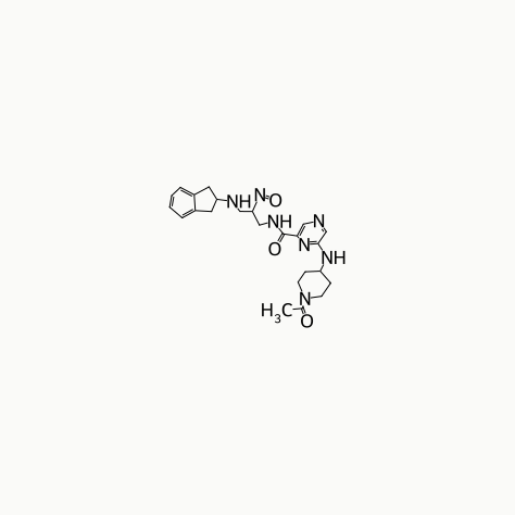 CC(=O)N1CCC(Nc2cncc(C(=O)NCC(CNC3Cc4ccccc4C3)N=O)n2)CC1